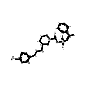 CC(=CS(=O)(=O)NC(=O)N1CCCC(CCCc2ccc(C(C)C)cc2)C1)c1ccccc1